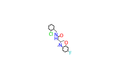 CN1c2ccc(F)cc2OCC1CC(=O)NCc1ccccc1Cl